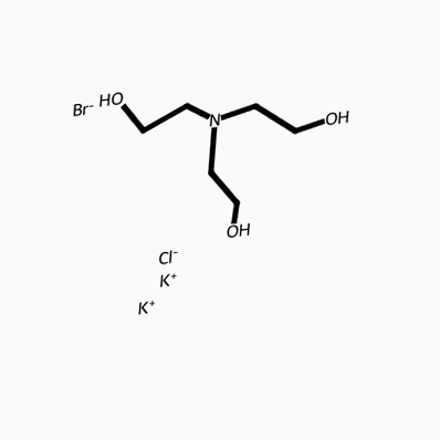 OCCN(CCO)CCO.[Br-].[Cl-].[K+].[K+]